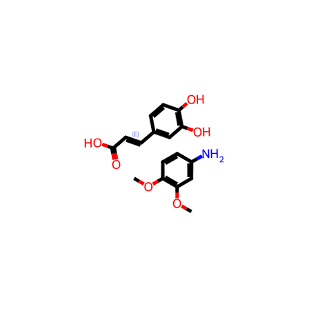 COc1ccc(N)cc1OC.O=C(O)/C=C/c1ccc(O)c(O)c1